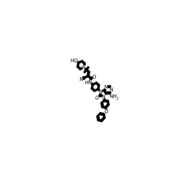 CC(C)(C=C(C#N)C(=O)NC1CCC(n2c(=O)n(-c3ccc(Oc4ccccc4)cc3)c3c(N)ncnc32)CC1)N1CCC(O)CC1